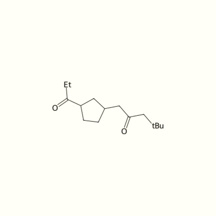 CCC(=O)C1CCC(CC(=O)CC(C)(C)C)C1